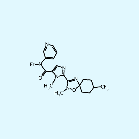 CCN(C(=O)c1cnc(C2=NC3(CCC(C(F)(F)F)CC3)ON2C)n1C)c1cccnc1